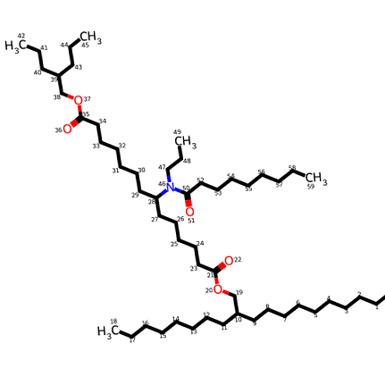 CCCCCCCCCCC(CCCCCCCC)COC(=O)CCCCCC(CCCCCCC(=O)OCC(CCC)CCC)N(CCC)C(=O)CCCCCCCC